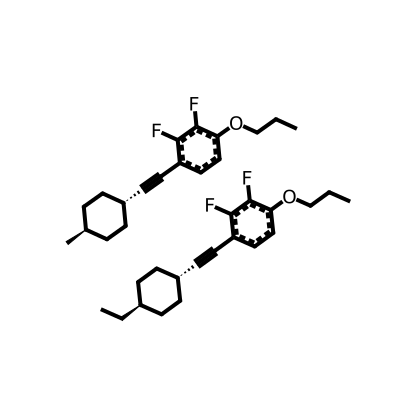 CCCOc1ccc(C#C[C@H]2CC[C@H](C)CC2)c(F)c1F.CCCOc1ccc(C#C[C@H]2CC[C@H](CC)CC2)c(F)c1F